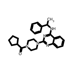 CC(Nc1nc(N2CCN(C(=O)C3CCCC3)CC2)nc2ccccc12)c1ccccc1